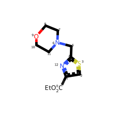 CCOC(=O)c1csc(CN2CCOCC2)n1